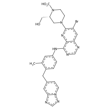 Cc1cc(Nc2ncnc3cc(Br)c(N4CCN(C(=O)O)[C@@H](CO)C4)nc23)ccc1Cc1ccn2ncnc2c1